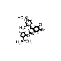 C[C@H]1CN(C(=O)O)CCN1c1nc(OC2CCCC2N(C)C)nc2cc(Br)c(Cl)cc12